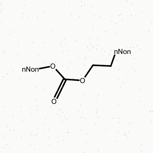 CCCCCCCCCCCOC(=O)OCCCCCCCCC